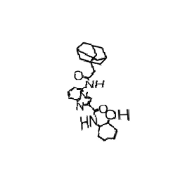 O=C(CC12CC3CC(CC(C3)C1)C2)Nc1cccc2nc(C(=O)NC3CCCCC3O)cn12